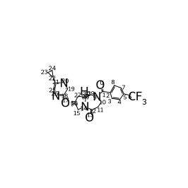 O=C(c1ccc(C(F)(F)F)cc1)N1CCC(=O)N2C[C@H](Oc3cnc(C4CC4)cn3)C[C@H]2C1